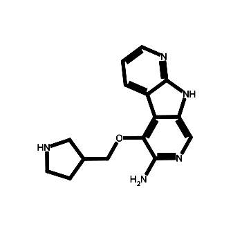 Nc1ncc2[nH]c3ncccc3c2c1OCC1CCNC1